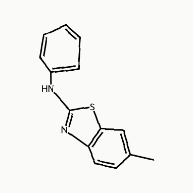 Cc1ccc2nc(Nc3ccccc3)sc2c1